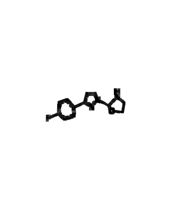 Fc1ccc(-c2ccn(C3NCCO3)n2)cc1